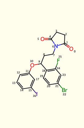 O=C1CCC(=O)N1CCC(Oc1cccc(I)c1)c1ccc(Br)cc1F